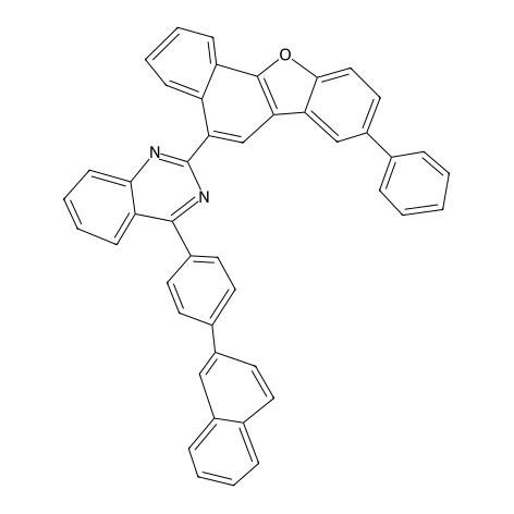 c1ccc(-c2ccc3oc4c5ccccc5c(-c5nc(-c6ccc(-c7ccc8ccccc8c7)cc6)c6ccccc6n5)cc4c3c2)cc1